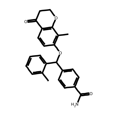 Cc1ccccc1C(Oc1ccc2c(c1C)OCCC2=O)c1ccc(C(N)=O)cc1